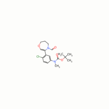 CN(C(=O)OC(C)(C)C)c1ccc(Cl)c(C2=COCCCN2C=O)c1